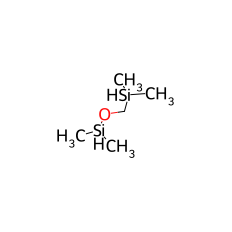 C[SiH](C)CO[SiH](C)C